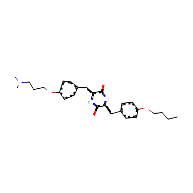 CCCCOc1ccc(/C=c2\[nH]c(=O)/c(=C/c3ccc(OCCCN(C)C)cc3)[nH]c2=O)cc1